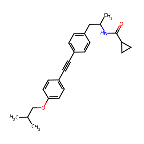 CC(C)COc1ccc(C#Cc2ccc(CC(C)NC(=O)C3CC3)cc2)cc1